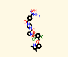 Cc1cc(C)c2cccc(OCc3c(Cl)ccc(S(=O)(=O)N4CCC[C@H]4C(=O)N4CCN(C(=O)c5ccc(C(N)=NO)cc5)CC4)c3Cl)c2n1